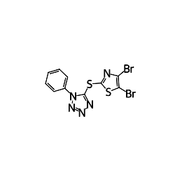 Brc1nc(Sc2nnnn2-c2ccccc2)sc1Br